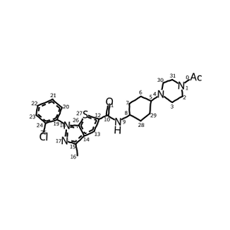 CC(=O)N1CCN(C2CCC(NC(=O)c3cc4c(C)nn(-c5ccccc5Cl)c4s3)CC2)CC1